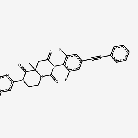 Cc1ccnc(N2CCN3C(=O)N(c4c(F)cc(C#Cc5ccccc5)cc4F)C(=O)CC3(C)C2=O)c1